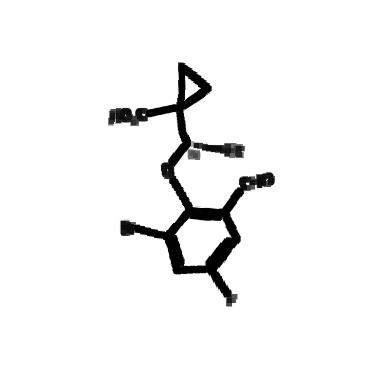 CC[C@H](Oc1c(Br)cc(F)cc1C=O)C1(C(=O)O)CC1